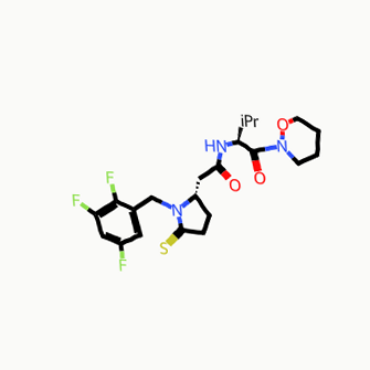 CC(C)[C@H](NC(=O)C[C@@H]1CCC(=S)N1Cc1cc(F)cc(F)c1F)C(=O)N1CCCCO1